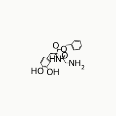 NCC(=O)N[C@@H](Cc1ccc(O)c(O)c1)C(=O)OCc1ccccc1